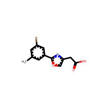 Cc1cc(Br)cc(-c2nc(CC(=O)O)co2)c1